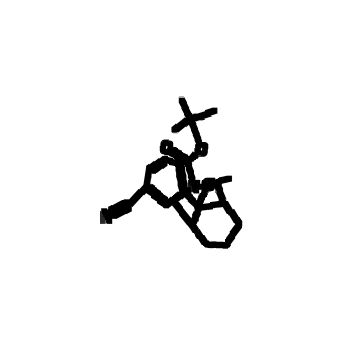 COC1(c2cccc(C#N)c2)C2CCCC1CN(C(=O)OC(C)(C)C)C2